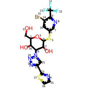 OCC1OC(Sc2cnc(C(F)(F)F)c(Br)c2)C(O)C(n2cc(-c3nccs3)nn2)C1O